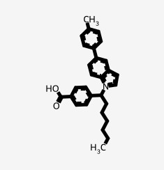 CCCCCCC(c1ccc(C(=O)O)cc1)n1ccc2cc(-c3ccc(C)cc3)ccc21